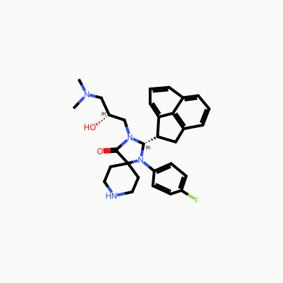 CN(C)C[C@@H](O)CN1C(=O)C2(CCNCC2)N(c2ccc(F)cc2)[C@H]1C1Cc2cccc3cccc1c23